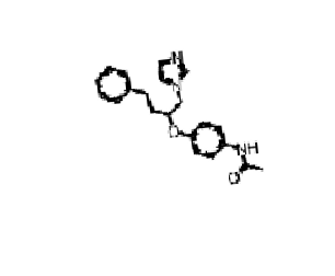 CC(=O)Nc1ccc(OC(CCc2ccccc2)Cn2ccnc2)cc1